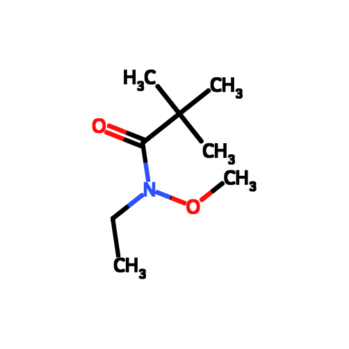 CCN(OC)C(=O)C(C)(C)C